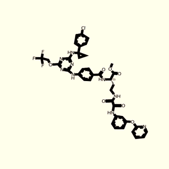 COC(=O)[C@H](CCNC(=O)C(=O)Nc1cccc(Oc2ccccn2)c1)NC(=O)c1ccc(Nc2nc(NC3(c4ccc(Cl)cc4)CC3)nc(OCC(F)(F)F)n2)cc1